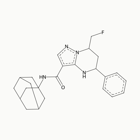 O=C(NC12CC3CC(CC(C3)C1)C2)c1cnn2c1NC(c1ccccc1)CC2CF